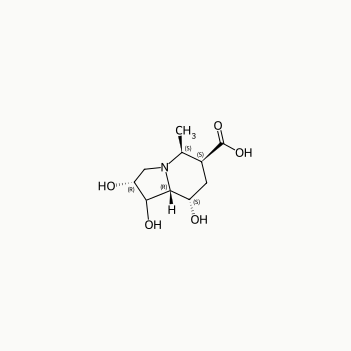 C[C@H]1[C@@H](C(=O)O)C[C@H](O)[C@@H]2C(O)[C@H](O)CN12